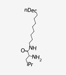 CCCCCCCCCCCCCCCCCCNC(=O)C(N)CC(C)C